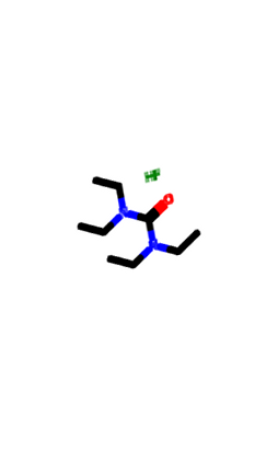 CCN(CC)C(=O)N(CC)CC.F